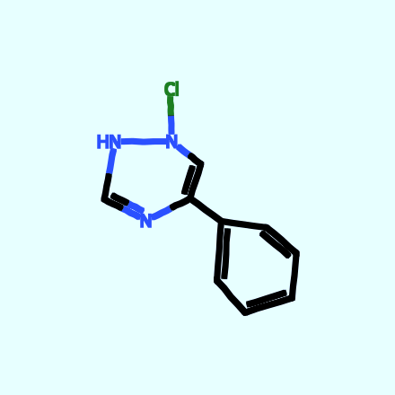 ClN1C=C(c2ccccc2)N=CN1